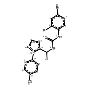 CC(NC(=O)Nc1cnc(Br)cc1Br)c1ncnn1-c1ccc(C#N)cn1